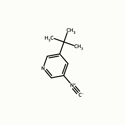 [C-]#[N+]c1cncc(C(C)(C)C)c1